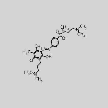 Cc1c(/N=N/c2ccc(S(=O)(=O)N(C)CCN(C)C)cc2)c(O)n(CCCN(C)C)c(=O)c1C